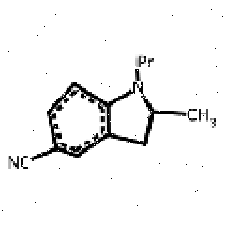 CC(C)N1c2ccc(C#N)cc2CC1C